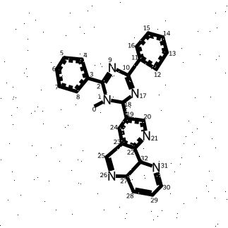 CN1C(c2ccccc2)=NC(c2ccccc2)=NC1c1cnc2c(c1)C=NC1C=CC=NC21